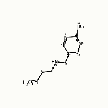 C=CCCNCc1cnc(C(C)(C)C)nc1